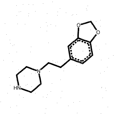 c1cc2c(cc1CCN1CCNCC1)OCO2